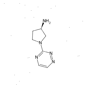 N[C@@H]1CCN(c2nccnn2)C1